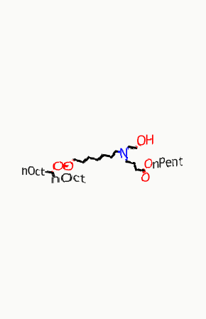 CCCCCCCCC(CCCCCCCC)OOCCCCCCCN(CCO)CCCC(=O)OCCCCC